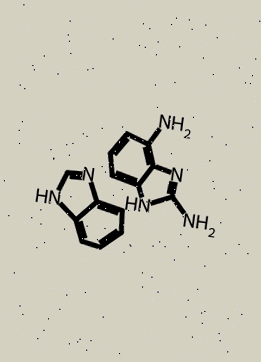 Nc1nc2c(N)cccc2[nH]1.c1ccc2[nH]cnc2c1